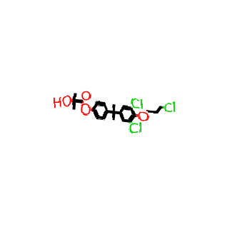 CC(C)(O)C(=O)Oc1ccc(C(C)(C)c2cc(Cl)c(OCCCCl)c(Cl)c2)cc1